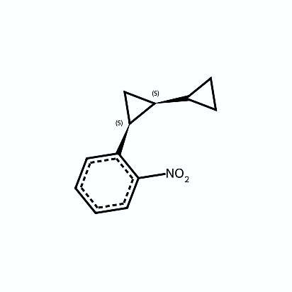 O=[N+]([O-])c1ccccc1[C@H]1C[C@H]1C1CC1